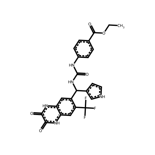 CCOC(=O)c1ccc(NC(=O)NC(c2cc[nH]c2)c2cc3[nH]c(=O)c(=O)[nH]c3cc2C(F)(F)F)cc1